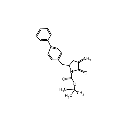 C=C1CC(Cc2ccc(-c3ccccc3)cc2)N(C(=O)OC(C)(C)C)C1=O